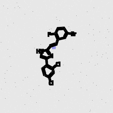 Fc1ccc(Br)cc1/C=C/c1nc(-c2ccc(Cl)cc2Cl)c[nH]1